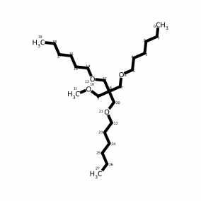 CCCCCCOCC(COC)(COCCCCCC)COCCCCCC